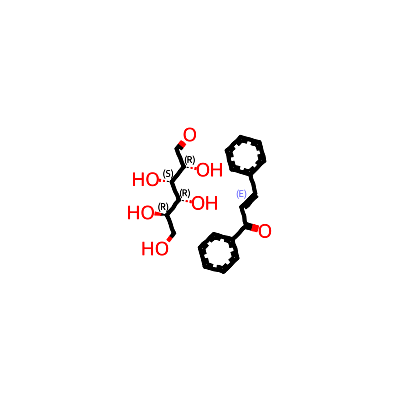 O=C(/C=C/c1ccccc1)c1ccccc1.O=C[C@H](O)[C@@H](O)[C@H](O)[C@H](O)CO